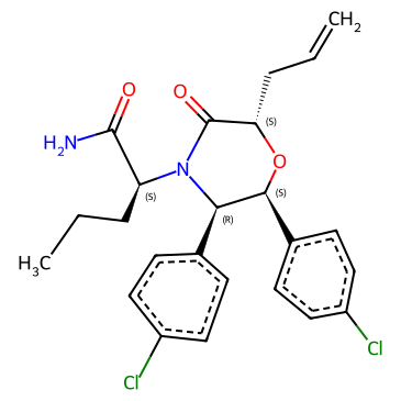 C=CC[C@@H]1O[C@@H](c2ccc(Cl)cc2)[C@@H](c2ccc(Cl)cc2)N([C@@H](CCC)C(N)=O)C1=O